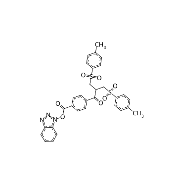 Cc1ccc(S(=O)(=O)CC(CS(=O)(=O)c2ccc(C)cc2)C(=O)c2ccc(C(=O)On3nnc4ccccc43)cc2)cc1